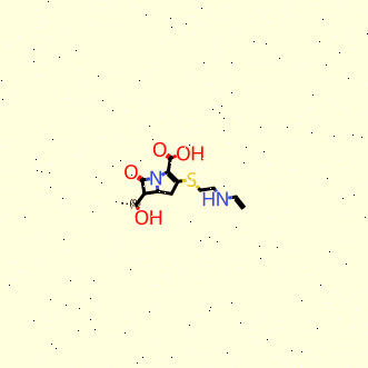 C=CNCCSC1=C(C(=O)O)N2C(=O)C([C@@H](C)O)C2C1